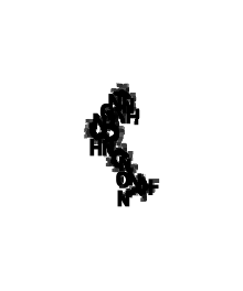 N#CC1C[C@H](F)CN1C(=O)CN1CCC(Nc2ccc(C(=O)Nc3ncccn3)c3ncccc23)CC1